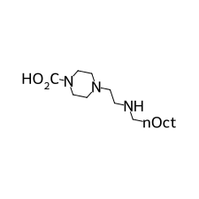 CCCCCCCCCNCCN1CCN(C(=O)O)CC1